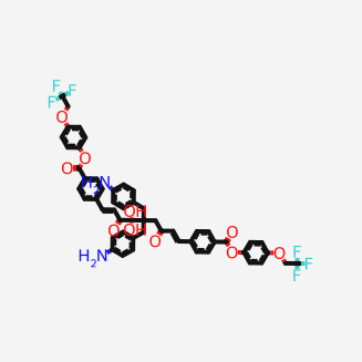 Nc1ccc(CC(CC(=O)C=Cc2ccc(C(=O)Oc3ccc(OCC(F)(F)F)cc3)cc2)(Cc2ccc(N)cc2)C(O)(O)C(=O)C=Cc2ccc(C(=O)Oc3ccc(OCC(F)(F)F)cc3)cc2)cc1